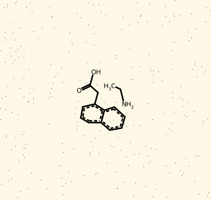 CCN.O=C(O)Cc1cccc2ccccc12